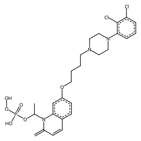 C=C1C=Cc2ccc(OCCCCN3CCN(c4cccc(Cl)c4Cl)CC3)cc2N1C(C)OP(=O)(O)OO